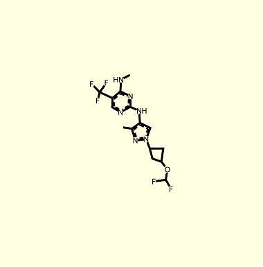 CNc1nc(Nc2cn(C3CC(OC(F)F)C3)nc2C)ncc1C(F)(F)F